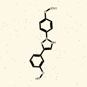 CCCCCCCCOc1ccc(N2NC=C(c3cccc(OCCC)c3)S2)cc1